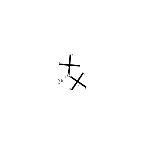 CC(C)(C)OC(C)(C)C.[Na]